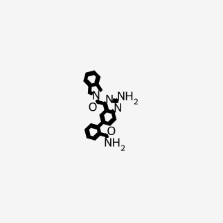 NC(=O)c1ccccc1-c1ccc2nc(N)nc(C(=O)N3Cc4ccccc4C3)c2c1